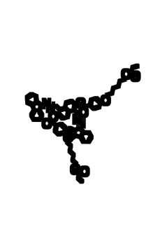 C=CC(=O)OCCCCCCOc1ccc(C(=O)Oc2ccc3c(/C=N/N=C4c5ccccc5-c5ccccc54)c(OC(=O)c4ccc(OCCCCCCOC(=O)C=C)cc4)ccc3c2/C=N/N=C2c3ccccc3-c3ccccc32)cc1